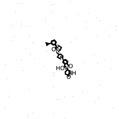 O=C1CCC(N2C(=O)c3ccc(N4CCC(CN5CCCN(c6cccc(C7CC7)c6)C5=O)CC4)cc3C2O)CN1